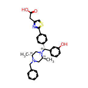 C[C@@H]1CN([C@H](c2ccc(-c3nc(CC(=O)O)cs3)cc2)c2cccc(O)c2)[C@@H](C)CN1Cc1ccccc1